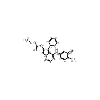 CCOC(=O)Oc1cn2ncnc(Nc3ccc(C)c(O)c3)c2c1-c1ccccc1